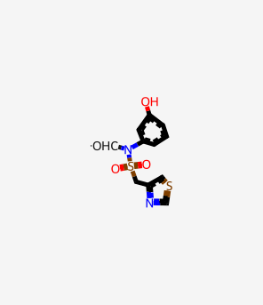 O=[C]N(c1cccc(O)c1)S(=O)(=O)Cc1cscn1